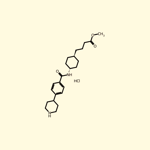 COC(=O)CCC[C@H]1CC[C@H](NC(=O)c2ccc(C3CCNCC3)cc2)CC1.Cl